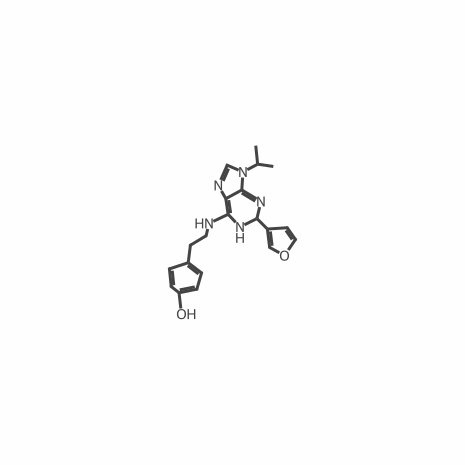 CC(C)n1cnc2c1=NC(c1ccoc1)NC=2NCCc1ccc(O)cc1